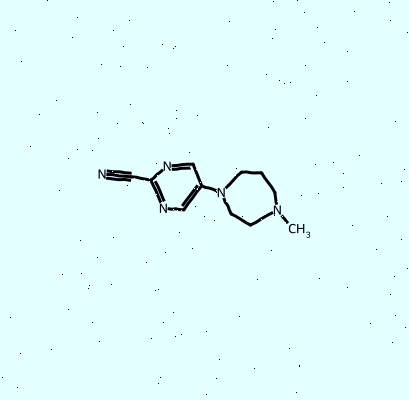 CN1CCCN(c2cnc(C#N)nc2)CC1